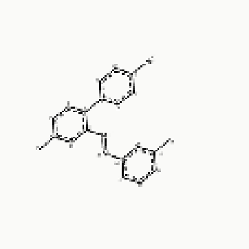 CC(=O)c1ccc(-c2ccc(C)cc2N=Nc2cccc(C)c2)cc1